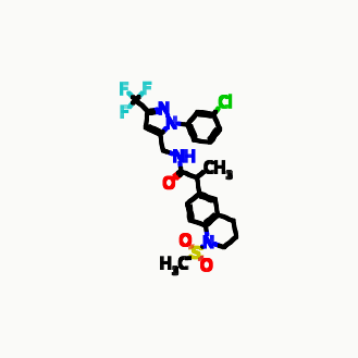 CC(C(=O)NCc1cc(C(F)(F)F)nn1-c1cccc(Cl)c1)c1ccc2c(c1)CCCN2S(C)(=O)=O